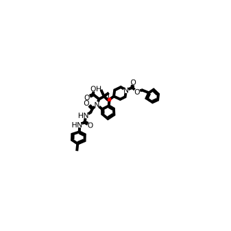 Cc1ccc(NC(=O)NCC(=O)N(c2ccccc2C(=O)C2CCN(C(=O)OCc3ccccc3)CC2)C(C(=O)O)C(C)(C)C)cc1